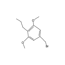 CCCc1c(OC)cc(CBr)cc1OC